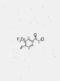 O=C(CCl)c1ccc(F)c(C(F)(F)F)c1